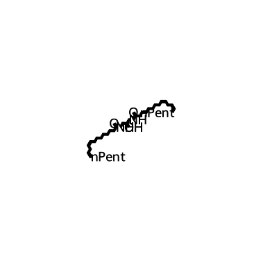 CCCCC/C=C\C/C=C\CCCCCCCC(=O)NCC(O)CNC(=O)CCCCCCC/C=C\C/C=C\CCCCC